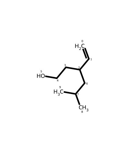 C=CC(CCO)CC(C)C